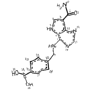 NC(=O)c1c[nH]c2c(NCc3ccc(B(O)O)cc3)ncnc12